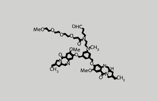 C/C=C1\CC2C=Nc3cc(OCc4cc(COc5cc6c(cc5OC)C(=O)N5C/C(=C/C)C[C@H]5C=N6)cc(N(C)CCN(CCCC=O)C(=O)CCOCCOCCOCCOC)c4)c(OC)cc3C(=O)N2C1